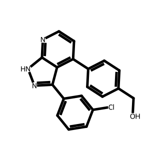 OCc1ccc(-c2ccnc3[nH]nc(-c4cccc(Cl)c4)c23)cc1